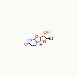 CC[C@H]1O[C@@H]2C(OC3NC(=O)C=CN32)[C@@H]1O